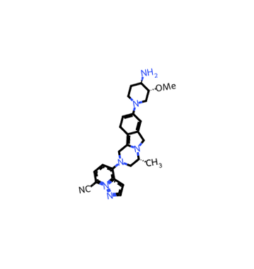 CO[C@@H]1CN(C2=CCC3=C4CN(c5ccc(C#N)n6nccc56)C[C@@H](C)N4CC3=C2)CC[C@H]1N